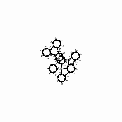 c1ccc(C2(c3cccnc3)c3ccccc3-c3ccc4c5ccccc5n(-c5ccc6c7ccccc7c7ccccc7c6c5)c4c32)cc1